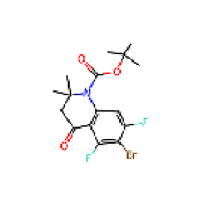 CC(C)(C)OC(=O)N1c2cc(F)c(Br)c(F)c2C(=O)CC1(C)C